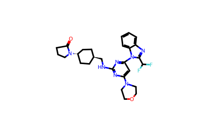 O=C1CCCN1[C@H]1CC[C@H](CNc2nc(N3CCOCC3)cc(-n3c(C(F)F)nc4ccccc43)n2)CC1